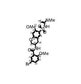 CNC(=S)NS(=O)(=O)c1cc2c(cc1OC)OCC(NC(=O)c1cc(Br)ccc1OC)C2